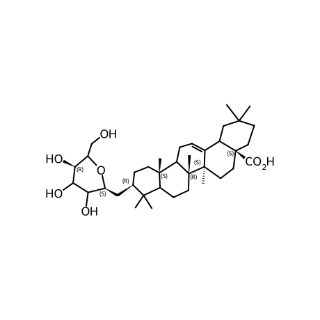 CC1(C)CC[C@]2(C(=O)O)CC[C@]3(C)C(=CCC4[C@@]5(C)CC[C@H](C[C@@H]6OC(CO)[C@H](O)C(O)C6O)C(C)(C)C5CC[C@]43C)C2C1